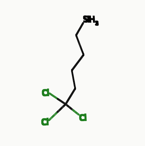 [SiH3]CCCCC(Cl)(Cl)Cl